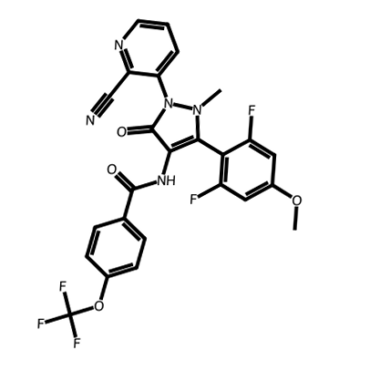 COc1cc(F)c(-c2c(NC(=O)c3ccc(OC(F)(F)F)cc3)c(=O)n(-c3cccnc3C#N)n2C)c(F)c1